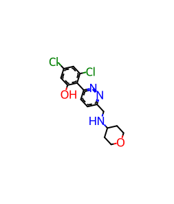 Oc1cc(Cl)cc(Cl)c1-c1ccc(CNC2CCOCC2)nn1